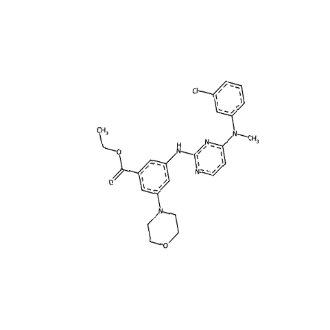 CCOC(=O)c1cc(Nc2nccc(N(C)c3cccc(Cl)c3)n2)cc(N2CCOCC2)c1